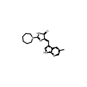 Cc1cnc2[nH]cc(C=C3N=C(N4CCCCCC4)NC3=O)c2c1